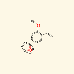 C=Cc1ccccc1OCC.c1cc2ccc1o2